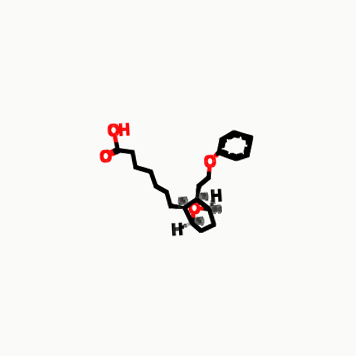 O=C(O)CCCCCC[C@H]1[C@@H](CCOc2ccccc2)[C@H]2CC[C@@H]1O2